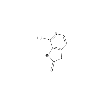 Cc1nccc2c1NC(=O)C2